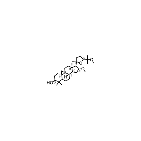 CO[C@H]1C[C@@]2(C)[C@@H]3CCC4C(C)(C)[C@@H](O)CC[C@@]45C[C@@]35CC[C@]2(C)C1[C@@]1(C)CC[C@@H](C(C)(C)OC)O1